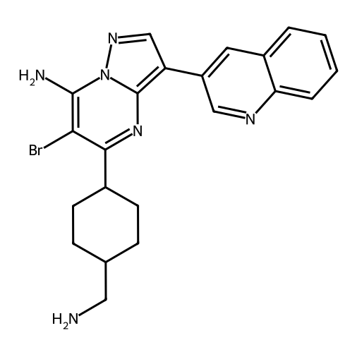 NCC1CCC(c2nc3c(-c4cnc5ccccc5c4)cnn3c(N)c2Br)CC1